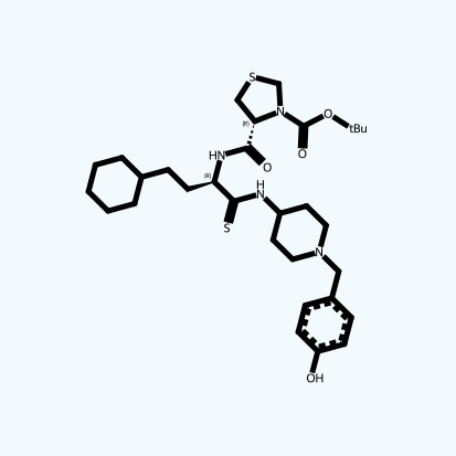 CC(C)(C)OC(=O)N1CSC[C@H]1C(=O)N[C@H](CCC1CCCCC1)C(=S)NC1CCN(Cc2ccc(O)cc2)CC1